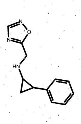 c1ccc(C2CC2NCc2ncno2)cc1